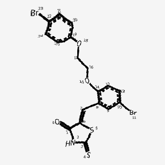 O=C1NC(=S)S/C1=C\c1cc(Br)ccc1OCCOc1ccc(Br)cc1